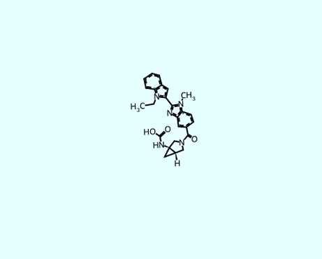 CCn1c(-c2nc3cc(C(=O)N4C[C@@H]5C[C@]5(NC(=O)O)C4)ccc3n2C)cc2ccccc21